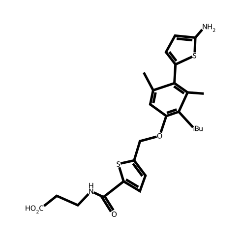 CCC(C)c1c(OCc2ccc(C(=O)NCCC(=O)O)s2)cc(C)c(-c2ccc(N)s2)c1C